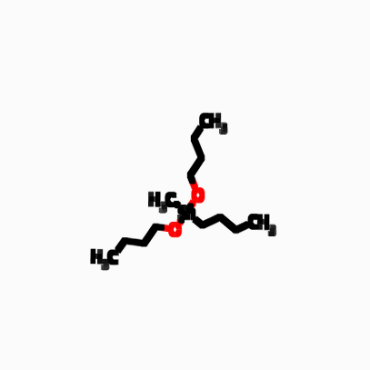 CCCC[O][Sn]([CH3])([CH2]CCC)[O]CCCC